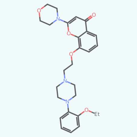 CCOc1ccccc1N1CCN(CCOc2cccc3c(=O)cc(N4CCOCC4)oc23)CC1